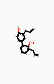 C=CCc1cc(-c2cccc(CC=C)c2O)ccc1O